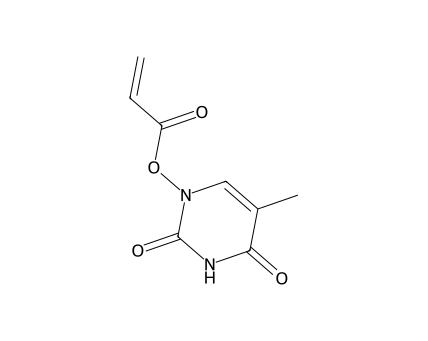 C=CC(=O)On1cc(C)c(=O)[nH]c1=O